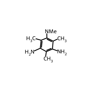 CNc1c(C)c(N)c(C)c(N)c1C